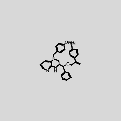 C=C(CO[C@@H](c1ccccc1)[C@@H]1CN(Cc2ccc(OC)cc2)c2cccnc2N1)c1ccc(C#N)cc1